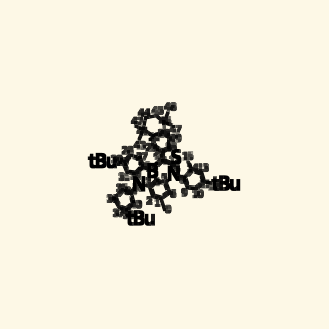 Cc1cc2c3c(c1)N(c1ccc(C(C)(C)C)cc1C)c1sc4cc5c(cc4c1B3c1ccc(C(C)(C)C)cc1N2c1cccc(C(C)(C)C)c1)C(C)(C)CCC5(C)C